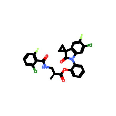 C[C@@H](CNC(=O)c1c(F)cccc1Cl)C(=O)Oc1ccccc1N1C(=O)C2(CC2)c2cc(F)c(Cl)cc21